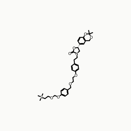 CC1(C)OCc2cc([C@@H]3CN(CCc4ccc(OCCOCc5ccc(OCOCC[Si](C)(C)C)cc5)cc4)C(=O)O3)ccc2O1